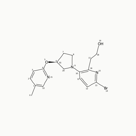 Cc1ccc(O[C@H]2CCN(c3ccc(Br)nc3CCO)C2)nc1